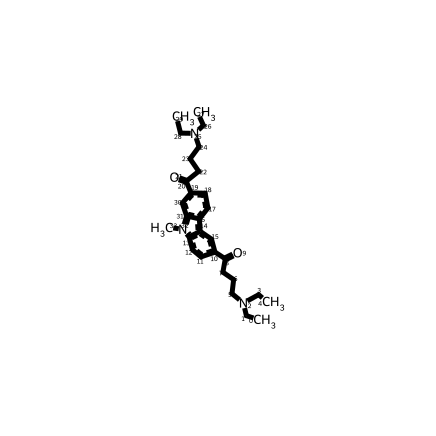 CCN(CC)CCCC(=O)c1ccc2c(c1)c1ccc(C(=O)CCCN(CC)CC)cc1n2C